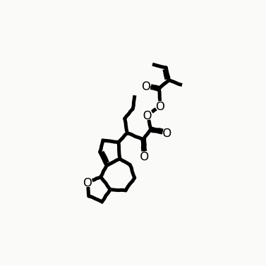 C/C=C(/C)C(=O)OOC(=O)C(=O)C(CCC)C1CC=C2C1CCCC1CCOC21